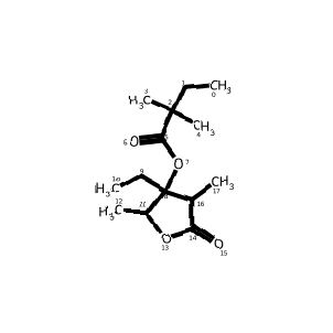 CCC(C)(C)C(=O)OC1(CC)C(C)OC(=O)C1C